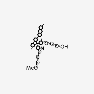 COCCOCCOCCOc1ccc(C2(c3ccc(COCCOCCOCCO)c(C)c3)c3cc(C)ccc3-c3ccc(-c4ccc5cc6cc(C)ccc6cc5c4)cc32)cc1N(C)C